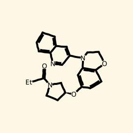 CCC(=O)N1CC[C@H](Oc2ccc3c(c2)N(c2cnc4ccccc4c2)CCO3)C1